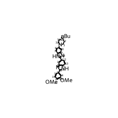 CCCCN1CCN(c2ccc3[nH]c(-c4ccc5[nH]c(-c6ccc(OC)c(OC)c6)nc5c4)nc3c2)CC1